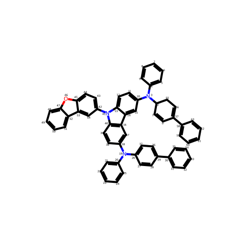 C1=CC(N(c2ccccc2)c2ccc3c(c2)c2cc(N(c4ccccc4)c4ccc(-c5ccccc5)cc4)ccc2n3-c2ccc3oc4ccccc4c3c2)CC=C1c1ccccc1